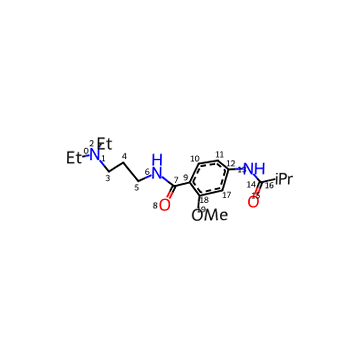 CCN(CC)CCCNC(=O)c1ccc(NC(=O)C(C)C)cc1OC